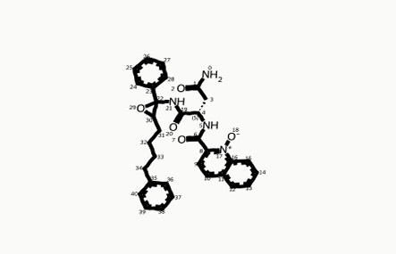 NC(=O)C[C@H](NC(=O)c1ccc2ccccc2[n+]1[O-])C(=O)NC1(c2ccccc2)OC1CCCCc1ccccc1